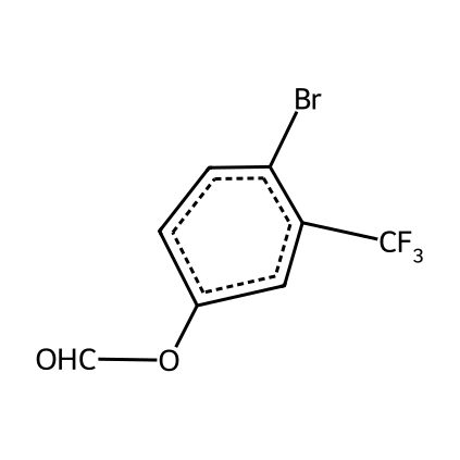 O=COc1ccc(Br)c(C(F)(F)F)c1